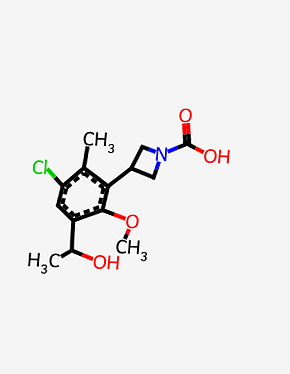 COc1c(C(C)O)cc(Cl)c(C)c1C1CN(C(=O)O)C1